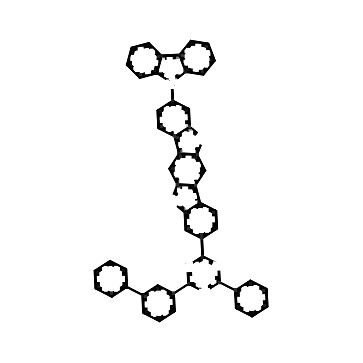 c1ccc(-c2cccc(-c3nc(-c4ccccc4)nc(-c4ccc5c(c4)oc4cc6c(cc45)oc4cc(-n5c7ccccc7c7ccccc75)ccc46)n3)c2)cc1